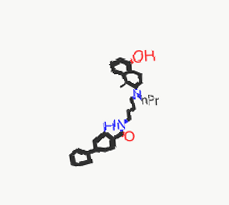 CCCN(CCCCNC(=O)c1ccc(-c2ccccc2)cc1)[C@@H]1CCc2c(O)cccc2[C@@H]1C